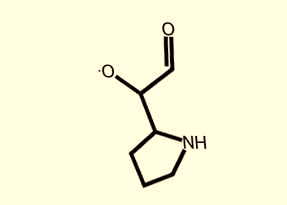 [O]C(C=O)C1CCCN1